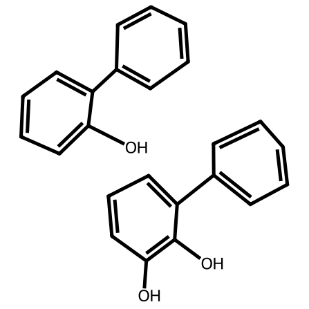 Oc1cccc(-c2ccccc2)c1O.Oc1ccccc1-c1ccccc1